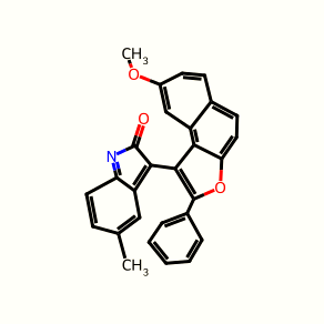 COc1ccc2ccc3oc(-c4ccccc4)c(C4=c5cc(C)ccc5=NC4=O)c3c2c1